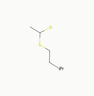 CC(C)CCSC(C)[S]